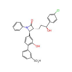 O=C1[C@H](CC[C@H](O)c2ccc(Cl)cc2)[C@@H](c2ccc(-c3cccc(S(=O)(=O)O)c3)c(O)c2)N1c1ccccc1